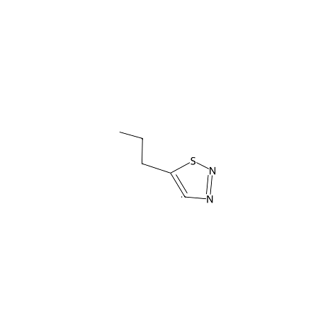 CCCc1[c]nns1